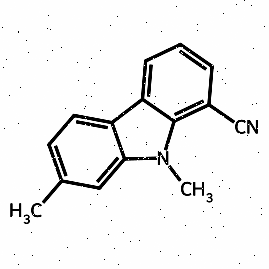 Cc1ccc2c3cccc(C#N)c3n(C)c2c1